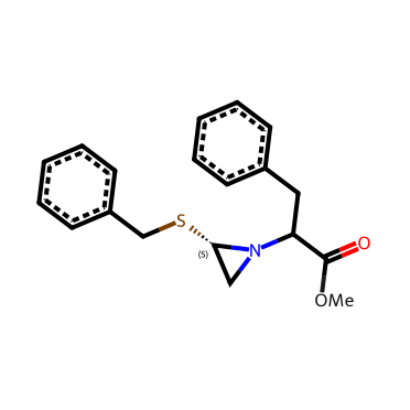 COC(=O)C(Cc1ccccc1)N1C[C@@H]1SCc1ccccc1